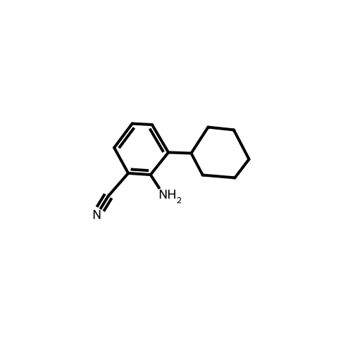 N#Cc1cccc(C2CCCCC2)c1N